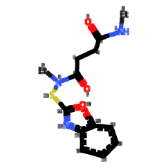 CCNC(=O)CCC(=O)N(CC)Sc1nc2ccccc2o1